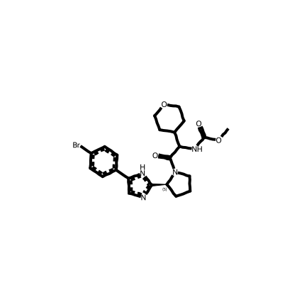 COC(=O)NC(C(=O)N1CCC[C@H]1c1ncc(-c2ccc(Br)cc2)[nH]1)C1CCOCC1